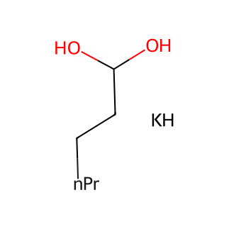 CCCCCC(O)O.[KH]